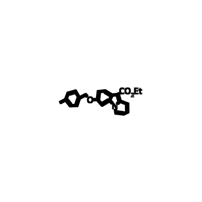 CCOC(=O)c1c2ccc(OCc3ccc(C)cc3)cc2n2ccccc12